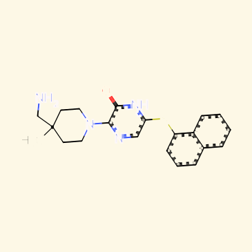 CC1(CN)CCN(c2ncc(Sc3cccc4ccccc34)[nH]c2=O)CC1